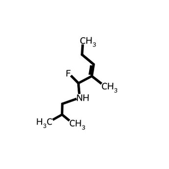 CC/C=C(/C)C(F)NCC(C)C